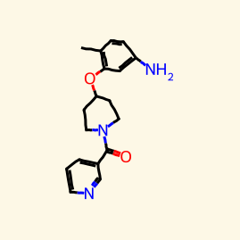 Cc1ccc(N)cc1OC1CCN(C(=O)c2cccnc2)CC1